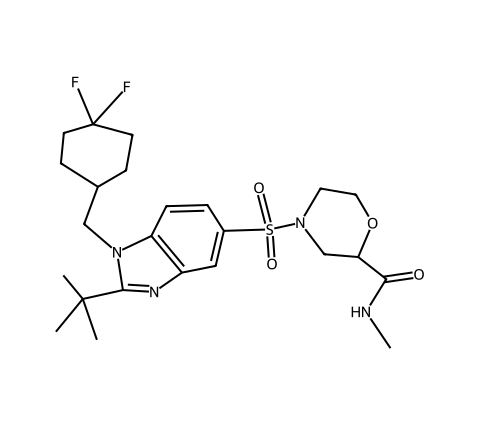 CNC(=O)C1CN(S(=O)(=O)c2ccc3c(c2)nc(C(C)(C)C)n3CC2CCC(F)(F)CC2)CCO1